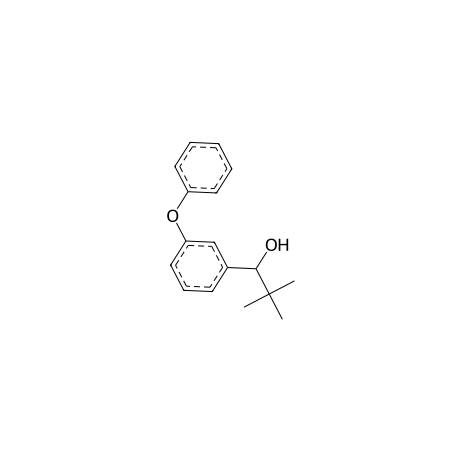 CC(C)(C)C(O)c1cccc(Oc2ccccc2)c1